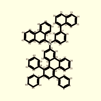 C1=CC(c2cc(-c3ccccc3)c3c4ccccc4c4cc(N(c5cccc(-c6cccc7ccccc67)c5)c5cc6ccccc6c6ccccc56)ccc4c3c2-c2ccccc2)=CCC1